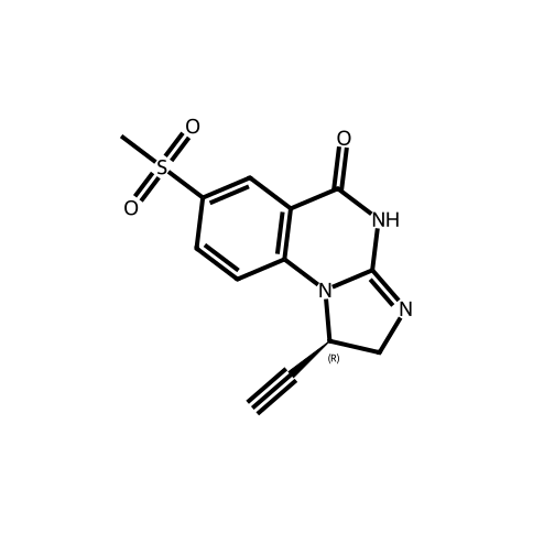 C#C[C@@H]1CN=C2NC(=O)c3cc(S(C)(=O)=O)ccc3N21